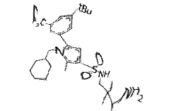 Cc1c(S(=O)(=O)NCC(C)(C)C(N)=O)cc(-c2cc(C(C)(C)C)cc(C(F)(F)F)c2)n1CC1CCCCC1